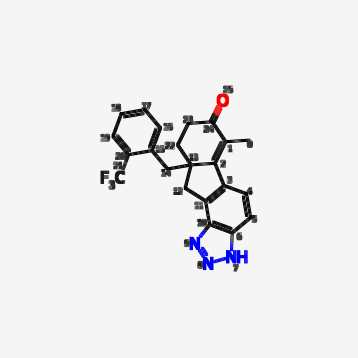 CC1=C2c3ccc4[nH]nnc4c3CC2(Cc2ccccc2C(F)(F)F)CCC1=O